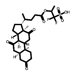 CC(CCC(=O)OC(C)C(F)(F)S(=O)(=O)O)[C@H]1CC[C@H]2[C@@H]3C(=O)C[C@@H]4CC(=O)CC[C@]4(C)[C@H]3CC(=O)[C@]12C